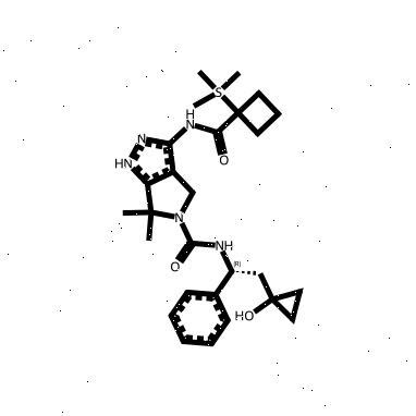 CC1(C)c2[nH]nc(NC(=O)C3(S(C)(C)C)CCC3)c2CN1C(=O)N[C@H](CC1(O)CC1)c1ccccc1